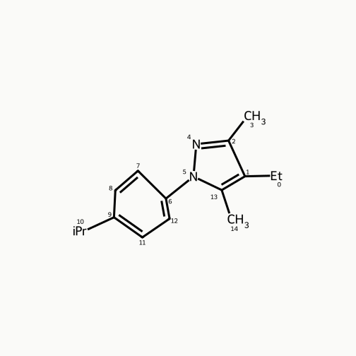 CCc1c(C)nn(-c2ccc(C(C)C)cc2)c1C